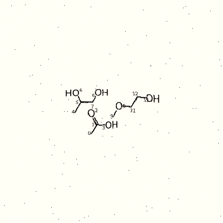 CC(=O)O.CC(O)CO.COCCO